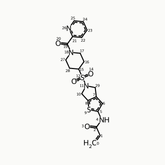 C=CC(=O)Nc1cc2c(s1)CN(S(=O)(=O)C1CCN(C(=O)c3ccccn3)CC1)C2